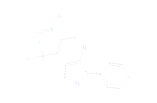 Cc1nn(-c2ccccc2)c2ncc(C(=O)O)c(C(F)(F)F)c12